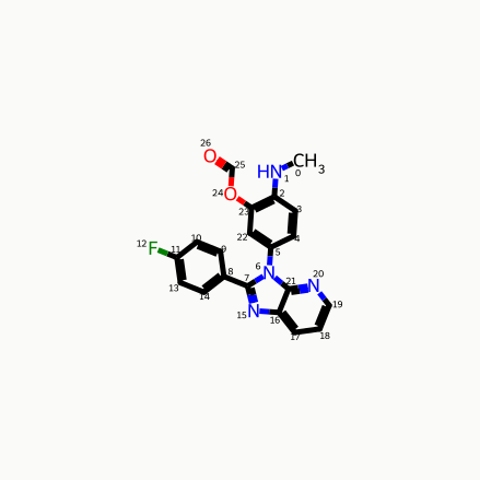 CNc1ccc(-n2c(-c3ccc(F)cc3)nc3cccnc32)cc1OC=O